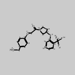 O=C(COc1ccc(CO)cc1)N1CCC(Sc2cnccc2C(F)(F)F)C1